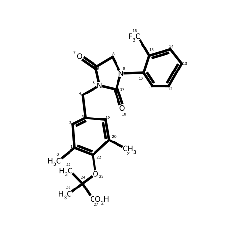 Cc1cc(CN2C(=O)CN(c3ccccc3C(F)(F)F)C2=O)cc(C)c1OC(C)(C)C(=O)O